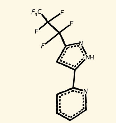 FC(F)(F)C(F)(F)C(F)(F)c1cc(-c2ccccn2)[nH]n1